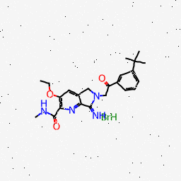 Br.CCOc1cc2c(nc1C(=O)NC)C(=N)N(CC(=O)c1cccc(C(C)(C)C)c1)C2